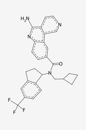 Nc1nc2ccc(C(=O)N(CC3CCC3)C3CCc4cc(C(F)(F)F)ccc43)cc2c2cnccc12